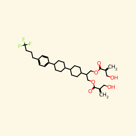 C=C(CO)C(=O)OCC(COC(=O)C(=C)CO)C1CCC(C2CCC(c3ccc(CCCC(F)(F)F)cc3)CC2)CC1